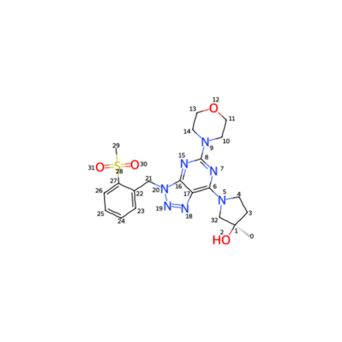 C[C@@]1(O)CCN(c2nc(N3CCOCC3)nc3c2nnn3Cc2ccccc2S(C)(=O)=O)C1